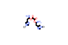 CCn1cnc(CC(N)OC(=O)C(=O)OC(N)Cc2cn(CC)cn2)c1